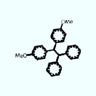 COc1ccc(C(c2ccc(OC)cc2)C(c2ccccc2)c2ccccc2)cc1